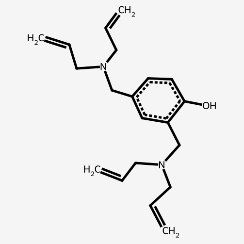 C=CCN(CC=C)Cc1ccc(O)c(CN(CC=C)CC=C)c1